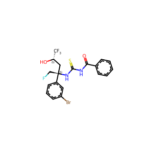 O=C(NC(=S)N[C@@](CF)(C[C@H](O)C(F)(F)F)c1cccc(Br)c1)c1ccccc1